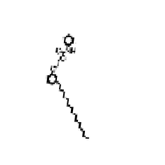 CCCCCCCCCCCCCCCc1cccc(OCCOC(=O)Nc2[c]cccc2)c1